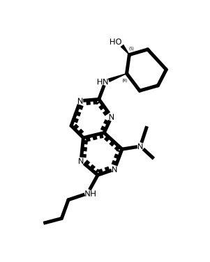 CCCNc1nc(N(C)C)c2nc(N[C@@H]3CCCC[C@@H]3O)ncc2n1